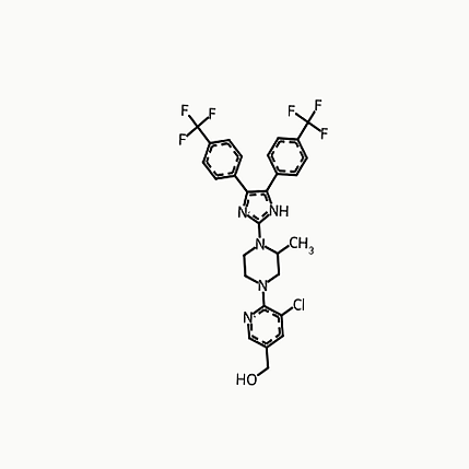 CC1CN(c2ncc(CO)cc2Cl)CCN1c1nc(-c2ccc(C(F)(F)F)cc2)c(-c2ccc(C(F)(F)F)cc2)[nH]1